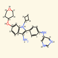 Nc1c(-c2ccc(Nc3cncnc3)cc2)n(C2CCC2)c2cc(OC3CCOCC3)ccc12